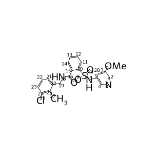 COc1cncc(NS(=O)(=O)c2ccccc2C(=O)NCc2cccc(Cl)c2C)c1